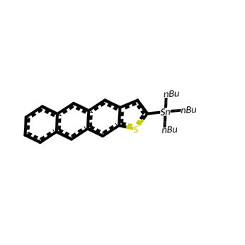 CCC[CH2][Sn]([CH2]CCC)([CH2]CCC)[c]1cc2cc3cc4ccccc4cc3cc2s1